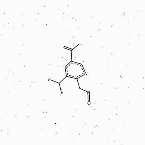 C=C(C)c1cnc(CN=O)c(C(F)F)c1